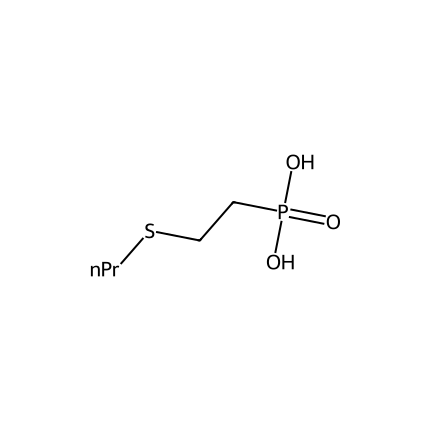 CCCSCCP(=O)(O)O